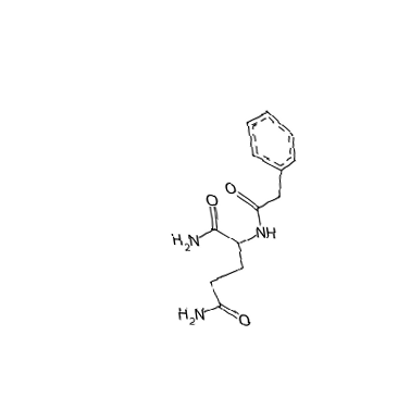 NC(=O)CCC(NC(=O)Cc1ccccc1)C(N)=O